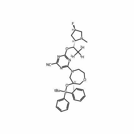 [2H]C([2H])([2H])C(Oc1nc(C#N)nc(N2CCOC[C@@](C)(O[Si](c3ccccc3)(c3ccccc3)C(C)(C)C)C2)n1)[C@@H]1C[C@@H](F)CN1C